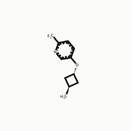 C[C@H]1C[C@H](Oc2ccc(C(F)(F)F)nc2)C1